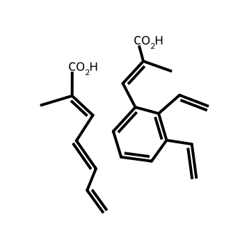 C=CC=CC=C(C)C(=O)O.C=Cc1cccc(C=C(C)C(=O)O)c1C=C